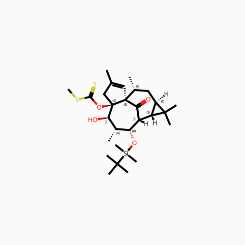 CSC(=S)O[C@@]12CC(C)=C[C@]13C(=O)[C@@H]([C@H](O[Si](C)(C)C(C)(C)C)[C@H](C)[C@H]2O)[C@@H]1[C@@H](C[C@H]3C)C1(C)C